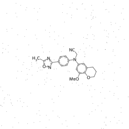 COc1cc(N(CC#N)c2ccc(-c3noc(C)n3)cc2)cc2c1OCCC2